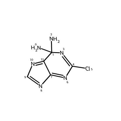 NC1(N)N=C(Cl)N=C2N=CN=C21